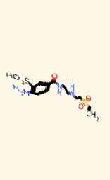 C=CS(=O)(=O)CCNCCNC(=O)c1ccc(N)c(S(=O)(=O)O)c1